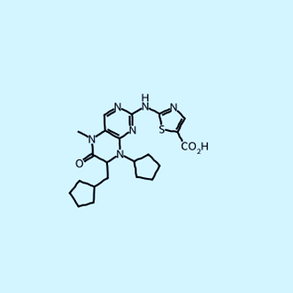 CN1C(=O)C(CC2CCCC2)N(C2CCCC2)c2nc(Nc3ncc(C(=O)O)s3)ncc21